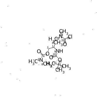 CC(COC(=O)N(C)C)NC(=O)OC(C)(C)C.CN(C)C(=O)Cl